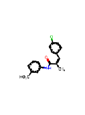 CC(=Cc1ccc(Cl)cc1)C(=O)Nc1cccc(C(=O)O)c1